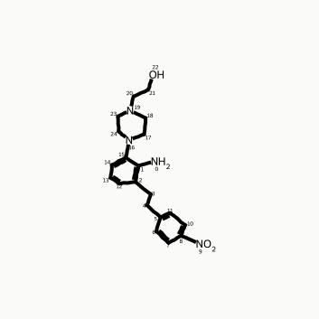 Nc1c(CCc2ccc([N+](=O)[O-])cc2)cccc1N1CCN(CCO)CC1